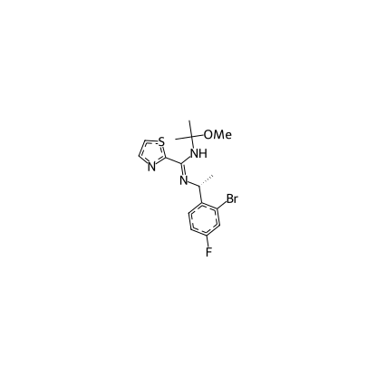 COC(C)(C)N/C(=N\[C@H](C)c1ccc(F)cc1Br)c1nccs1